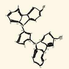 Brc1ccc2c(c1)c1ccccc1n2-c1cccc(-n2c3ccccc3c3cc(Br)ccc32)c1